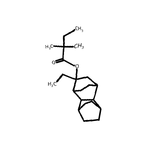 CCC(C)(C)C(=O)OC1(CC)CC2CCC1C1C3CCC(CC3)C21